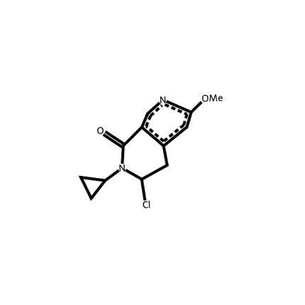 COc1cc2c(cn1)C(=O)N(C1CC1)C(Cl)C2